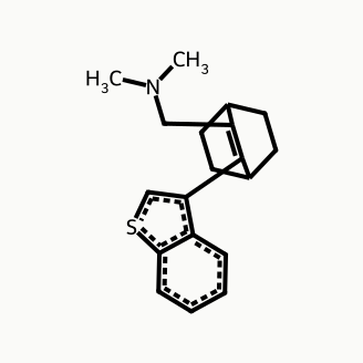 CN(C)CC1=C(c2csc3ccccc23)C2CCC1CC2